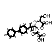 CC(C)(c1ccc(-c2ccccc2)cc1)[C@H](C[C@@H](CO)C(=O)O)NC(=O)C(=O)O